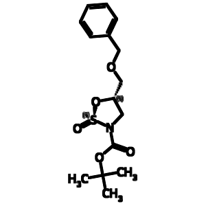 CC(C)(C)OC(=O)N1C[C@@H](COCc2ccccc2)O[S@@]1=O